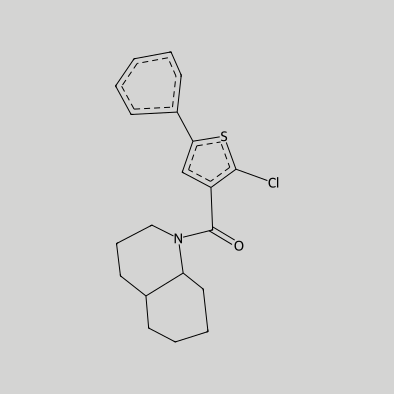 O=C(c1cc(-c2ccccc2)sc1Cl)N1CCCC2CCCCC21